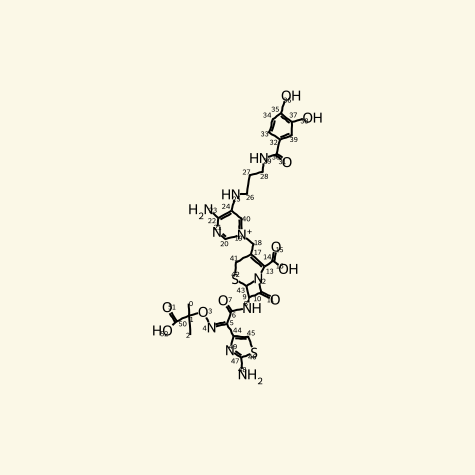 CC(C)(O/N=C(\C(=O)N[C@@H]1C(=O)N2C(C(=O)O)=C(C[n+]3cnc(N)c(NCCCNC(=O)c4ccc(O)c(O)c4)c3)CSC12)c1csc(N)n1)C(=O)O